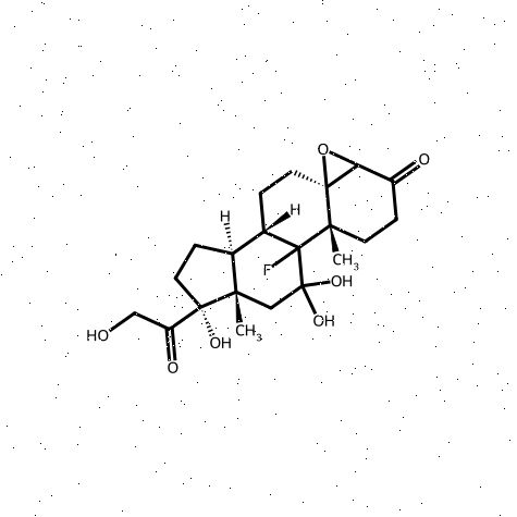 C[C@]12CC(O)(O)C3(F)[C@@H](CC[C@]45OC4C(=O)CC[C@]35C)[C@@H]1CC[C@]2(O)C(=O)CO